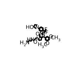 COc1cc(OC)cc(-c2nn(-c3cc(N4CCC(O)C4)ccc3C(F)(F)F)c(=O)c3c2CCN3CC(=O)NCCN)c1